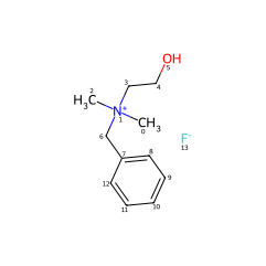 C[N+](C)(CCO)Cc1ccccc1.[F-]